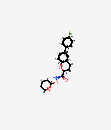 O=C(NOC1CCCCO1)C1CCc2cc(-c3ccc(F)cc3)ccc2O1